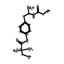 CC(C)CC(=O)NC(Cc1ccc(OC(=O)C(C)(C)CC(C)C)cc1)C(=O)O